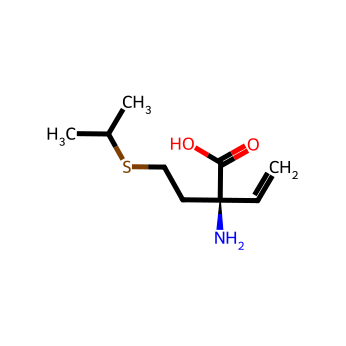 C=C[C@](N)(CCSC(C)C)C(=O)O